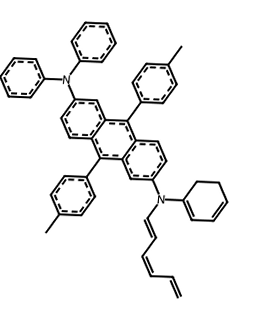 C=C/C=C\C=C\N(C1=CC=CCC1)c1ccc2c(-c3ccc(C)cc3)c3cc(N(c4ccccc4)c4ccccc4)ccc3c(-c3ccc(C)cc3)c2c1